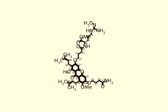 C/N=C(/N)NCCC[C@@H](NC(=O)CCCOc1cc2oc3cc(OCCCC(N)=O)c(OC)c(CC=C(C)C)c3c(=O)c2c(O)c1CC=C(C)C)C(=O)OC